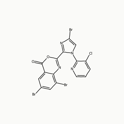 O=c1oc(-c2nc(Br)cn2-c2ncccc2Cl)nc2c(Br)cc(Br)cc12